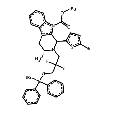 C[C@@H]1Cc2c(n(C(=O)OC(C)(C)C)c3ccccc23)[C@@H](c2cnc(Br)s2)N1CC(F)(F)CO[Si](c1ccccc1)(c1ccccc1)C(C)(C)C